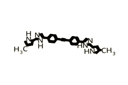 CC1=CC(c2ncc(-c3ccc(C#Cc4ccc(-c5cnc(C6C=C(C)CN6)[nH]5)cc4)cc3)[nH]2)NC1